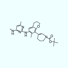 CNc1cc(C)nc(Nc2cc3c(c(C4=CCN(C(=O)OC(C)(C)C)CCC4)c2C)OCCC3)n1